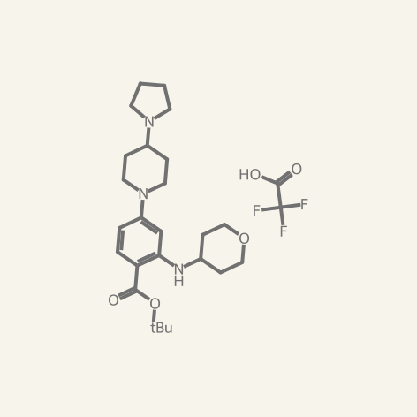 CC(C)(C)OC(=O)c1ccc(N2CCC(N3CCCC3)CC2)cc1NC1CCOCC1.O=C(O)C(F)(F)F